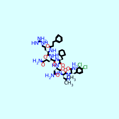 CC(C)C[C@H](NC(=O)[C@H](CC(N)=O)NC(=O)[C@H](CC1CCCCC1)NC(=O)[C@H](CCC(N)=O)NC(=O)[C@H](CCCNC(=N)N)NC(=O)CCc1ccccc1)C(=O)N[C@@H](Cc1ccc(Cl)c(Cl)c1)C(N)=O